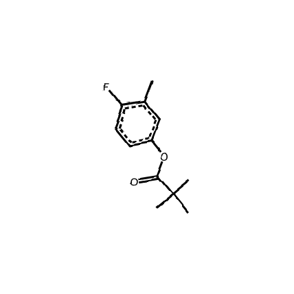 Cc1cc(OC(=O)C(C)(C)C)ccc1F